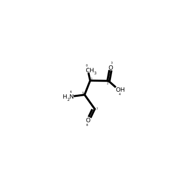 CC(C(=O)O)C(N)C=O